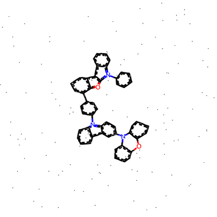 c1ccc(-n2c3ccccc3c3c4cccc(-c5ccc(-n6c7ccccc7c7cc(N8c9ccccc9Oc9ccccc98)ccc76)cc5)c4oc32)cc1